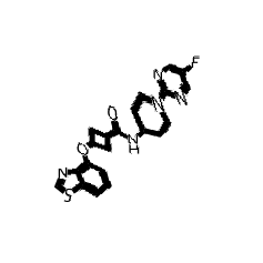 O=C(NC1CCN(c2ncc(F)cn2)CC1)C1CC(Oc2cccc3scnc23)C1